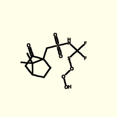 CC1(C)C2CCC1(CS(=O)(=O)NC(F)(F)SOOO)C(=O)C2